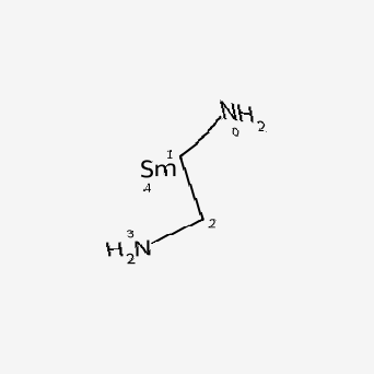 NCCN.[Sm]